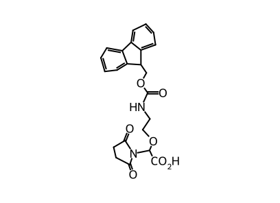 O=C(NCCOC(C(=O)O)N1C(=O)CCC1=O)OCC1c2ccccc2-c2ccccc21